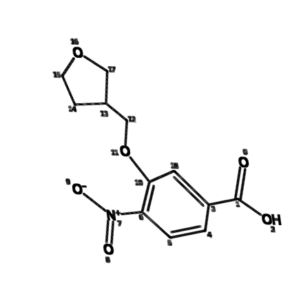 O=C(O)c1ccc([N+](=O)[O-])c(OCC2CCOC2)c1